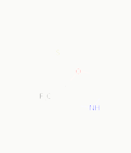 FC(F)(F)C1(c2cccs2)CNCCO1